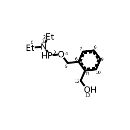 CCN(CC)POCc1ccccc1CO